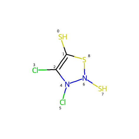 SC1=C(Cl)N(Cl)N(S)S1